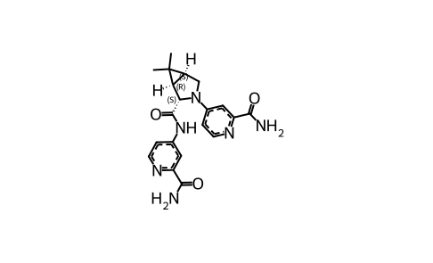 CC1(C)[C@@H]2[C@@H](C(=O)Nc3ccnc(C(N)=O)c3)N(c3ccnc(C(N)=O)c3)C[C@@H]21